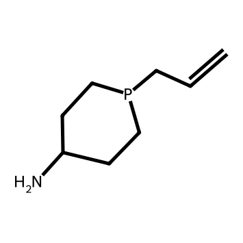 C=CCP1CCC(N)CC1